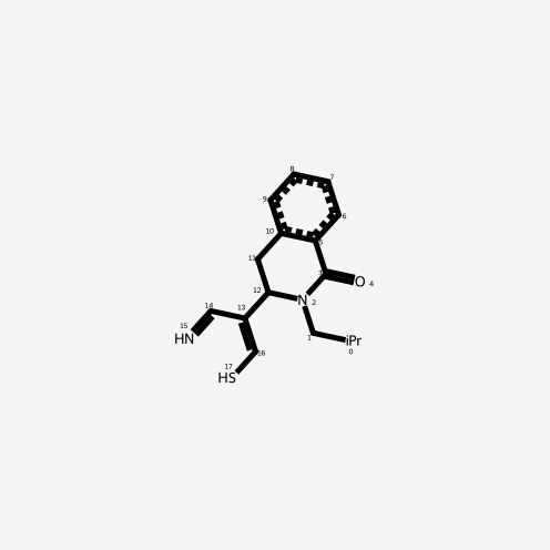 CC(C)CN1C(=O)c2ccccc2CC1/C(C=N)=C/S